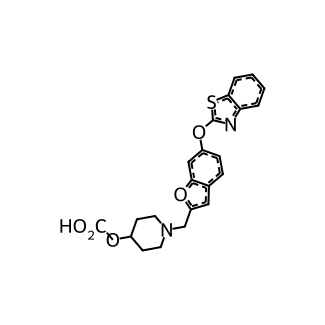 O=C(O)OC1CCN(Cc2cc3ccc(Oc4nc5ccccc5s4)cc3o2)CC1